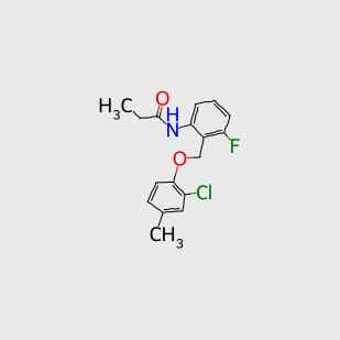 CCC(=O)Nc1cccc(F)c1COc1ccc(C)cc1Cl